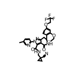 Cc1ccc(-n2nc3c(c2C(=O)NCC2(C#N)CC2)C(=O)N[C@@]2(CCOc4cc(OCC(F)(F)F)ccc42)C3)nc1